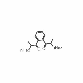 CCCCCCC(C)C(=O)c1ccccc1C(=O)C(C)CCCCCC